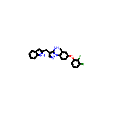 Cc1cc(Oc2cccc(F)c2F)ccc1-n1ncc(Cc2cc3ccccc3[nH]2)c1N